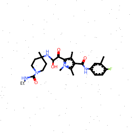 CCNC(=O)N1CCC(C)(NC(O)C(=O)c2c(C)c(C(=O)Nc3ccc(F)c(C)c3)c(C)n2C)CC1